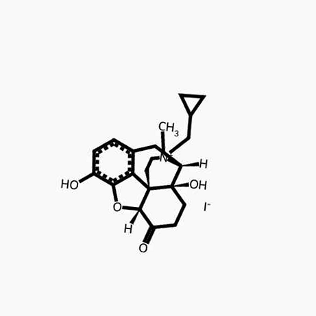 C[N+]1(CC2CC2)CC[C@]23c4c5ccc(O)c4O[C@H]2C(=O)CC[C@@]3(O)[C@H]1C5.[I-]